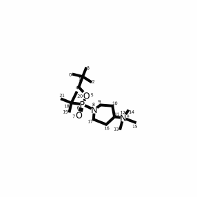 CC(C)(C)COP(=O)(N1CCC([N+](C)(C)C)CC1)C(C)(C)C